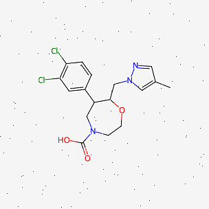 Cc1cnn(CC2OCCN(C(=O)O)CC2c2ccc(Cl)c(Cl)c2)c1